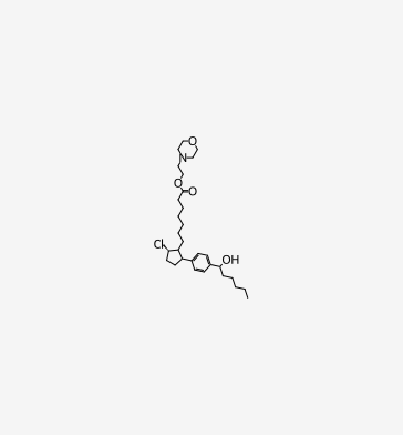 CCCCCC(O)c1ccc(C2CC[C@@H](Cl)C2CCCCCCC(=O)OCCN2CCOCC2)cc1